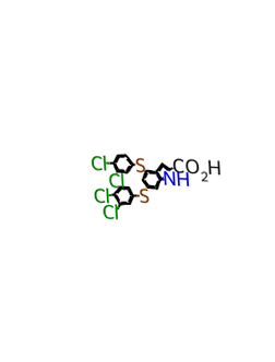 O=C(O)c1cc2c(Sc3ccc(Cl)c(Cl)c3)cc(Sc3ccc(Cl)c(Cl)c3)cc2[nH]1